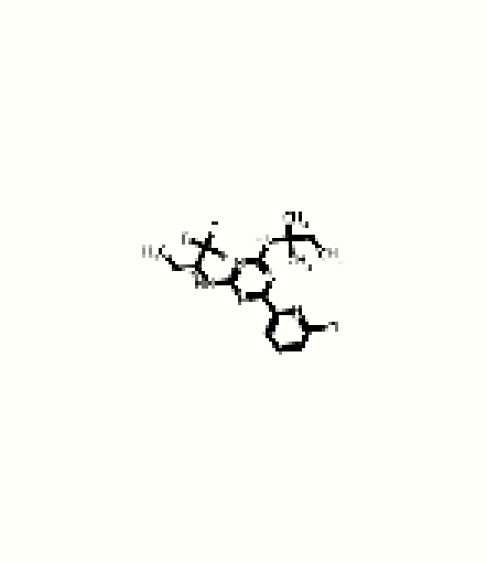 CC[C@H](Nc1nc(NC(C)(C)CC)nc(-c2cccc(Cl)n2)n1)C(F)(F)F